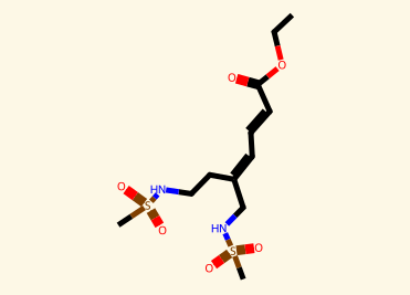 CCOC(=O)/C=C/C=C(\CCNS(C)(=O)=O)CNS(C)(=O)=O